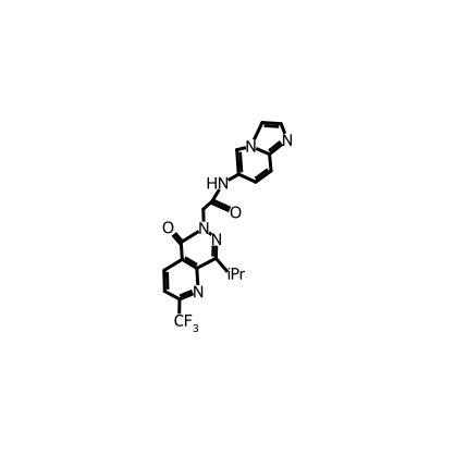 CC(C)c1nn(CC(=O)Nc2ccc3nccn3c2)c(=O)c2ccc(C(F)(F)F)nc12